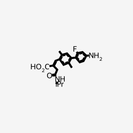 Cc1cc(-c2ccc(N)cc2F)c(C)cc1/C=C(\CC(=O)NC(C)C)C(=O)O